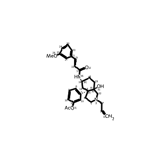 C=CCN1CC[C@@]2(c3cccc(OC(C)=O)c3)C[C@H](NC(=O)C=Cc3cccc(OC)c3)CC[C@]2(O)C1